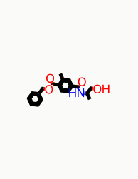 Cc1cc(C(=O)NC(C)CO)ccc1C(=O)OCc1ccccc1